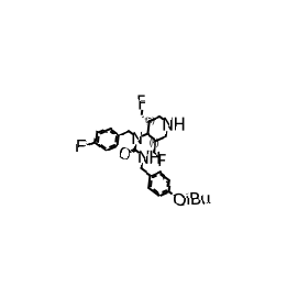 CC(C)COc1ccc(CNC(=O)N(Cc2ccc(F)cc2)C2[C@H](CF)CNC[C@H]2CF)cc1